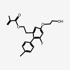 C=C(C)C(=O)OCCc1cc(OCCO)cc(F)c1-c1ccc(C)cc1